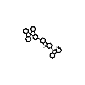 C1=CC2=C(CC1)C1(c3ccccc32)c2ccccc2-c2cc(-c3ccc4c(c3)oc3cc(-n5c6ccccc6c6cccnc65)ccc34)ccc21